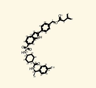 CC(C)CC(=O)OCc1ccc(-c2cc3ccc(S(=O)(=O)N[C@H]4CC[C@H](C(=O)N[C@H](C)c5ccc(F)cc5)CC4)cc3[nH]2)cc1